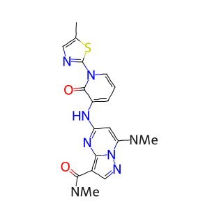 CNC(=O)c1cnn2c(NC)cc(Nc3cccn(-c4ncc(C)s4)c3=O)nc12